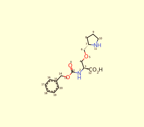 O=C(N[C@@H](COC[C@@H]1CCCN1)C(=O)O)OCc1ccccc1